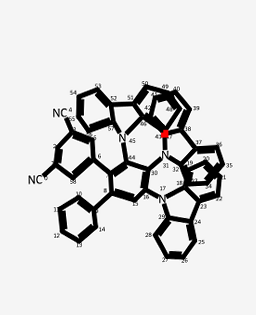 N#Cc1cc(C#N)cc(-c2c(-c3ccccc3)cc(-n3c4ccccc4c4ccccc43)c(-n3c4ccccc4c4ccccc43)c2-n2c3ccccc3c3ccccc32)c1